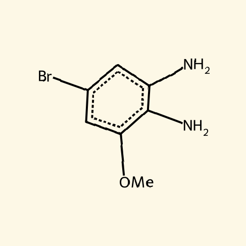 COc1cc(Br)cc(N)c1N